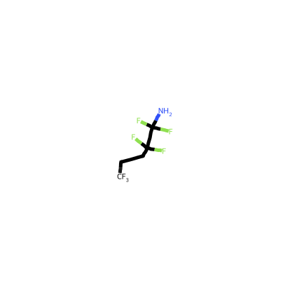 NC(F)(F)C(F)(F)CCC(F)(F)F